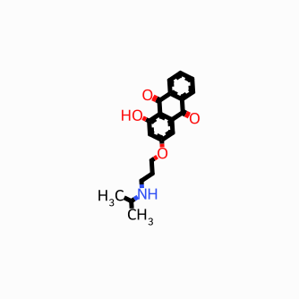 CC(C)NCCCOc1cc(O)c2c(c1)C(=O)c1ccccc1C2=O